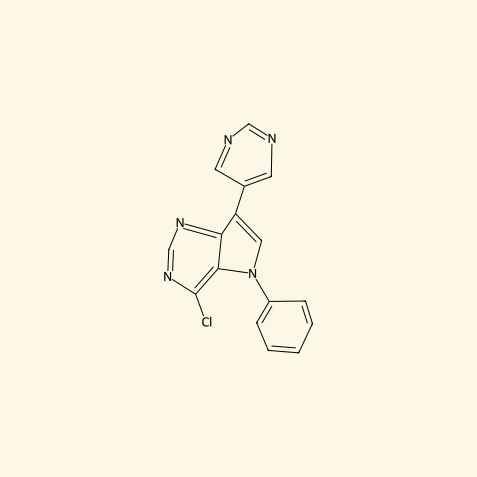 Clc1ncnc2c(-c3cncnc3)cn(-c3ccccc3)c12